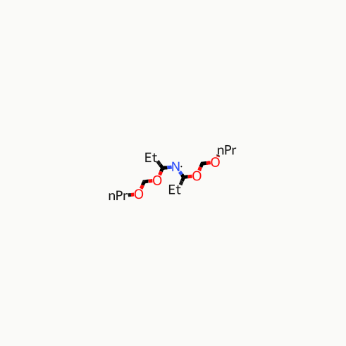 CCCOCOC(CC)[N]C(CC)OCOCCC